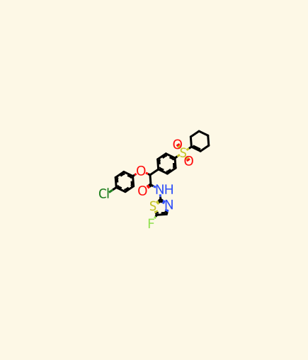 O=C(Nc1ncc(F)s1)C(Oc1ccc(Cl)cc1)c1ccc(S(=O)(=O)C2=CCCCC2)cc1